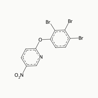 O=[N+]([O-])c1ccc(Oc2ccc(Br)c(Br)c2Br)nc1